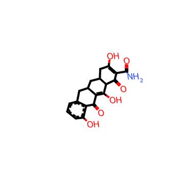 NC(=O)C1=C(O)CC2CC3Cc4cccc(O)c4C(=O)C3=C(O)C2C1=O